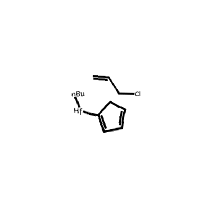 C=CCCl.CCC[CH2][Hf][C]1=CC=CC1